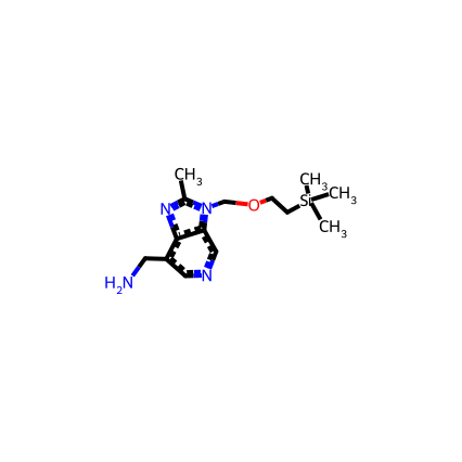 Cc1nc2c(CN)cncc2n1COCC[Si](C)(C)C